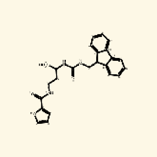 O=C(NC(CCNC(=O)c1ccco1)C(=O)O)OCC1c2ccccc2-c2ccccc21